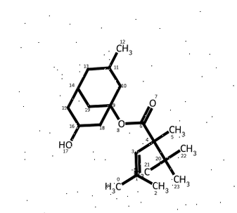 CC(C)=CC(C)(C(=O)OC12CC(C)CC(CC(O)C1)C2)C(C)(C)C